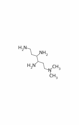 CN(C)CCC(N)C(N)CCN